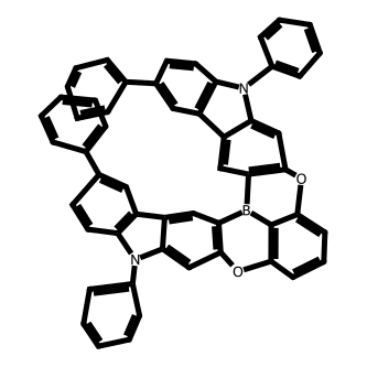 c1ccc(-c2ccc3c(c2)c2cc4c(cc2n3-c2ccccc2)Oc2cccc3c2B4c2cc4c5cc(-c6ccccc6)ccc5n(-c5ccccc5)c4cc2O3)cc1